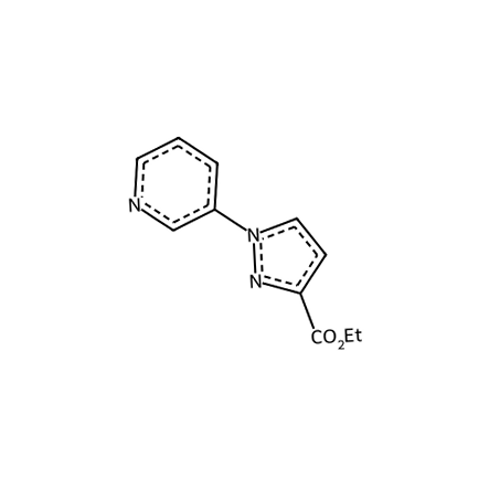 CCOC(=O)c1ccn(-c2cccnc2)n1